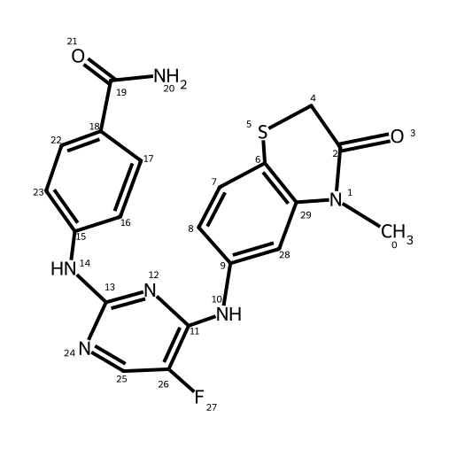 CN1C(=O)CSc2ccc(Nc3nc(Nc4ccc(C(N)=O)cc4)ncc3F)cc21